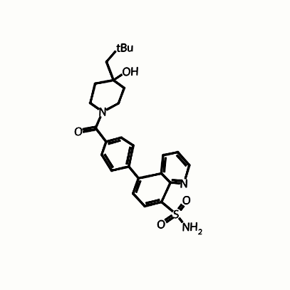 CC(C)(C)CC1(O)CCN(C(=O)c2ccc(-c3ccc(S(N)(=O)=O)c4ncccc34)cc2)CC1